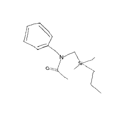 CCC[Si](C)(C)CN(C(C)=O)c1ccccc1